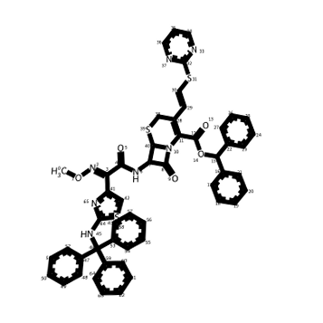 CO/N=C(/C(=O)NC1C(=O)N2C(C(=O)OC(c3ccccc3)c3ccccc3)=C(/C=C/Sc3ncccn3)CSC12)c1csc(NC(c2ccccc2)(c2ccccc2)c2ccccc2)n1